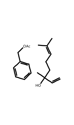 C=CC(C)(O)CCC=C(C)C.CC(=O)OCc1ccccc1